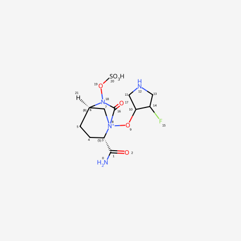 NC(=O)[C@@H]1CC[C@@H]2C[N+]1(OC1CNCC1F)C(=O)N2OS(=O)(=O)O